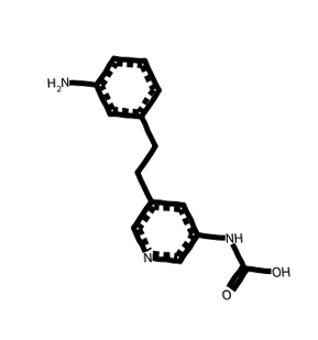 Nc1cccc(CCc2cncc(NC(=O)O)c2)c1